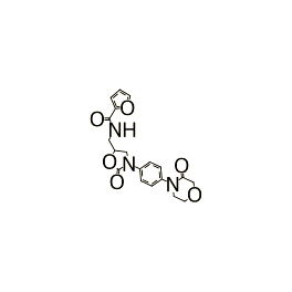 O=C(NCC1CN(c2ccc(N3CCOCC3=O)cc2)C(=O)O1)c1ccco1